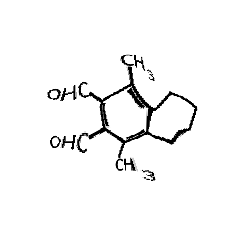 Cc1c(C=O)c(C=O)c(C)c2c1CCCC2